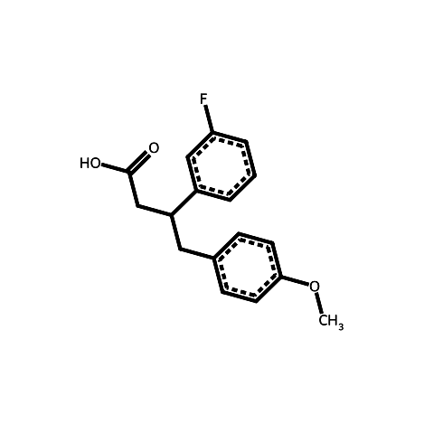 COc1ccc(CC(CC(=O)O)c2cccc(F)c2)cc1